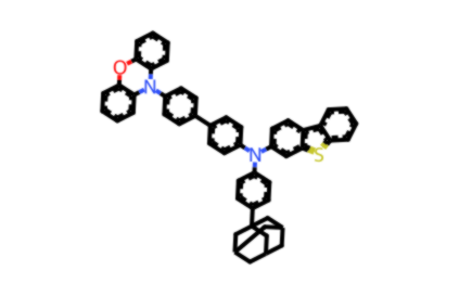 c1ccc2c(c1)Oc1ccccc1N2c1ccc(-c2ccc(N(c3ccc(C45CC6CC(CC(C6)C4)C5)cc3)c3ccc4c(c3)sc3ccccc34)cc2)cc1